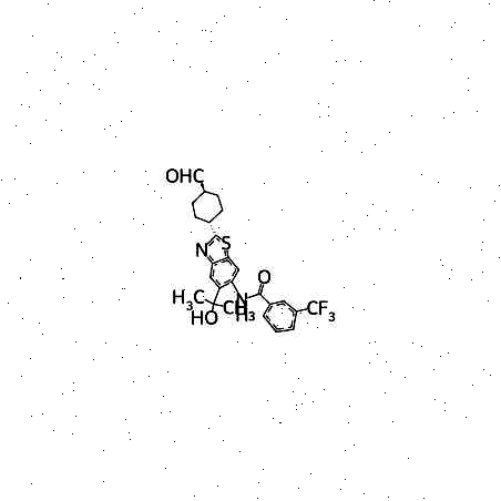 CC(C)(O)c1cc2nc([C@H]3CC[C@H](C=O)CC3)sc2cc1NC(=O)c1cccc(C(F)(F)F)c1